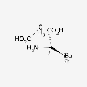 CC(=O)O.CC[C@H](C)[C@H](N)C(=O)O